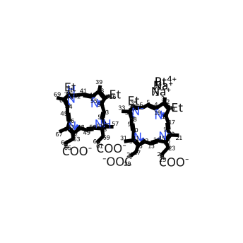 CCC1=C(C)c2cc3[n-]c(cc4nc(cc5[n-]c(cc1n2)c(C)c5CCC(=O)[O-])C(CCC(=O)[O-])=C4C)c(C)c3CC.CCC1=C(C)c2cc3[nH]c(cc4nc(cc5[nH]c(cc1n2)c(C)c5CCC(=O)[O-])C(CCC(=O)[O-])=C4C)c(C)c3CC.[Na+].[Na+].[Pt+4]